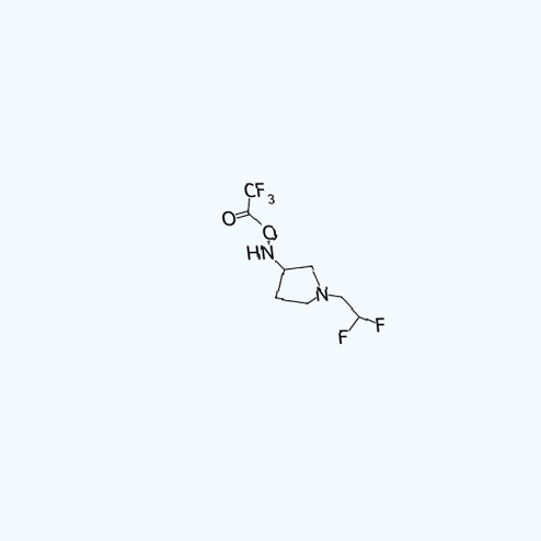 O=C(ONC1CCN(CC(F)F)C1)C(F)(F)F